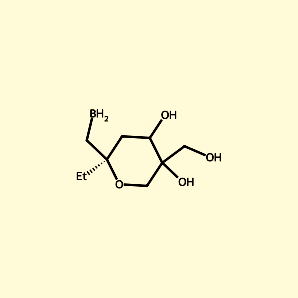 BC[C@@]1(CC)CC(O)C(O)(CO)CO1